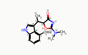 COc1cccc2[nH]cc(C(C)C3OC(N(C)C)=NC3=O)c12